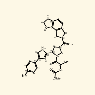 COC(=O)NC(C(=O)N1CN(C(=O)N2Cc3ccc4c(c3C2)OCO4)C[C@H]1c1nc(-c2ccc(Br)cc2)c[nH]1)C(C)C